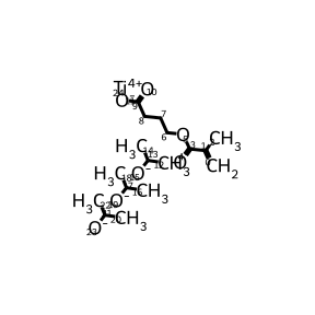 C=C(C)C(=O)OCCCC(=O)[O-].CC(C)[O-].CC(C)[O-].CC(C)[O-].[Ti+4]